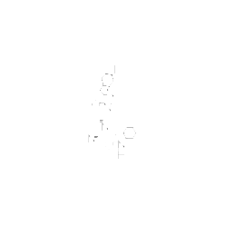 C[C@H]1C(=O)N2C[C@]3(C[C@H]2C#N)C(=O)Nc2ccc(cc23)CCCCCCN1C(=O)c1cc2c(F)cc(F)cc2[nH]1